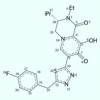 CCN1C(=O)c2c(O)c(=O)c(-c3nnc(Cc4ccc(F)cc4)s3)cn2C[C@@H]1C(C)C